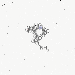 CO[C@]1(C)C[C@@H](C)/C(=N\O)[C@H](C)[C@H]2OC(=O)O[C@]2(C)[C@@H](I)OC(=O)[C@H](C)[C@@H](O[C@H]2C[C@@](C)(OC)[C@@H](OCCCN)[C@H](C)O2)[C@H](C)[C@H]1O[C@@H]1O[C@H](C)C[C@H](N(C)C)[C@H]1OC(C)=O